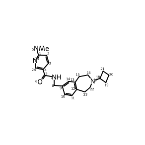 CNc1ccc(C(=O)NCc2ccc3c(c2)CCN(C2CCC2)CC3)cn1